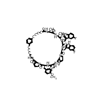 CC[C@@H]1NC(=O)[C@@H]2CCCN2C(=O)[C@H](Cc2c[nH]c3ccc(F)cc23)NC(=O)[C@H](Cc2c[nH]c3ccc(F)cc23)NC(=O)[C@@H](C)NC(=O)[C@H](C)NC(=O)CCCCc2cccc(c2)CCCCNC(=O)[C@@H]2CCCN2C(=O)[C@H](Cc2ccc(OC)cc2)NC1=O